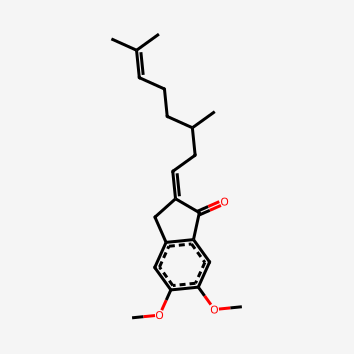 COc1cc2c(cc1OC)C(=O)C(=CCC(C)CCC=C(C)C)C2